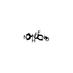 O=CN1CCC(CNc2ccncc2)C(F)(F)C1